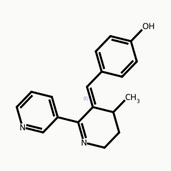 CC1CCN=C(c2cccnc2)/C1=C/c1ccc(O)cc1